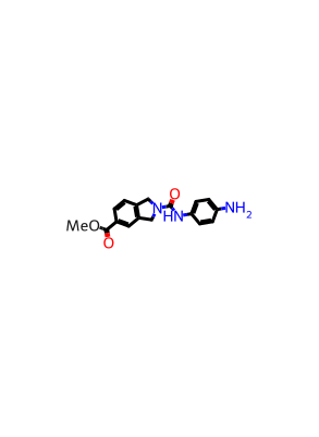 COC(=O)c1ccc2c(c1)CN(C(=O)Nc1ccc(N)cc1)C2